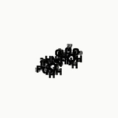 [2H]c1nc(C([2H])([2H])[S+]([O-])c2nc3c([2H])c([2H])c(OC(F)F)c([2H])c3[nH]2)c(OC)c(OC)c1[2H]